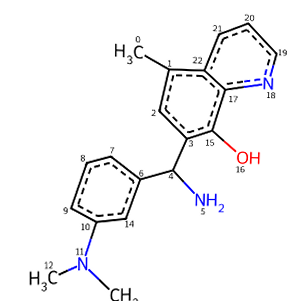 Cc1cc(C(N)c2cccc(N(C)C)c2)c(O)c2ncccc12